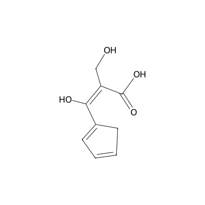 O=C(O)C(CO)=C(O)C1=CC=CC1